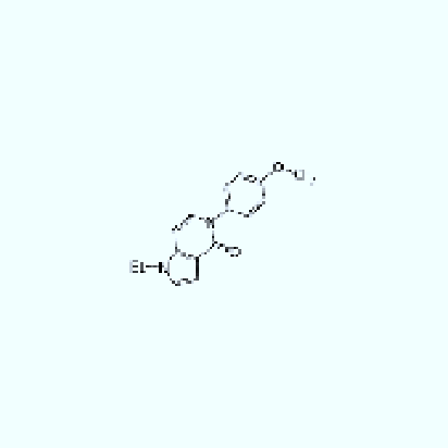 CCn1ccc2c(=O)n(-c3ccc(OC(F)(F)F)cc3)ccc21